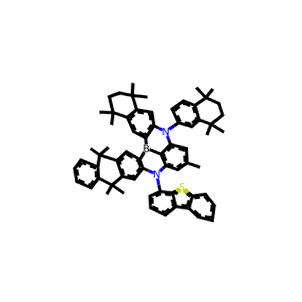 Cc1cc2c3c(c1)N(c1cccc4c1sc1ccccc14)c1cc4c(cc1B3c1cc3c(cc1N2c1ccc2c(c1)C(C)(C)CCC2(C)C)C(C)(C)CCC3(C)C)C(C)(C)c1ccccc1C4(C)C